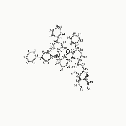 c1ccc(-c2ccc3c(c2)c2cc(-c4ccccc4)ccc2n3-c2cccc3c2oc2c(-c4ccccc4)ccc(-c4ccc5c(c4)sc4ccccc45)c23)cc1